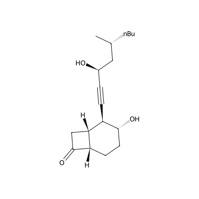 CCCC[C@@H](C)C[C@H](O)C#C[C@@H]1[C@H]2CC(=O)[C@H]2CC[C@H]1O